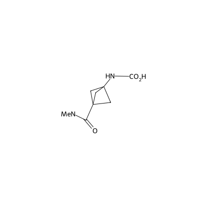 CNC(=O)C12CC(NC(=O)O)(C1)C2